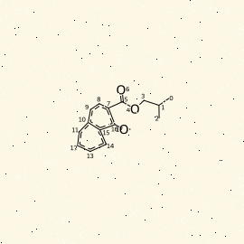 CC(C)COC(=O)c1ccc2ccccc2c1[O]